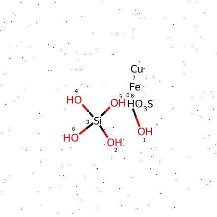 O=S(=O)(O)O.O[Si](O)(O)O.[Cu].[Fe]